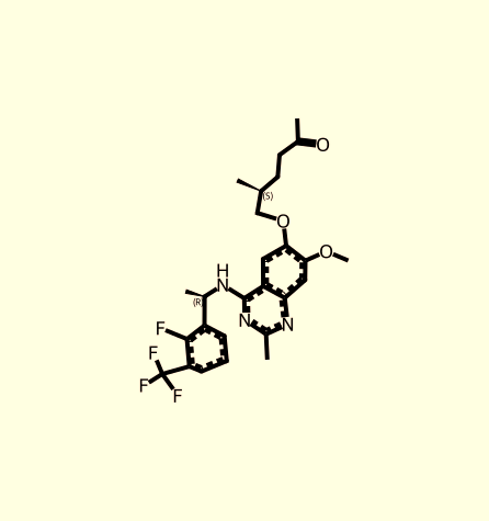 COc1cc2nc(C)nc(N[C@H](C)c3cccc(C(F)(F)F)c3F)c2cc1OC[C@@H](C)CCC(C)=O